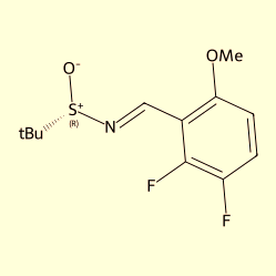 COc1ccc(F)c(F)c1C=N[S@@+]([O-])C(C)(C)C